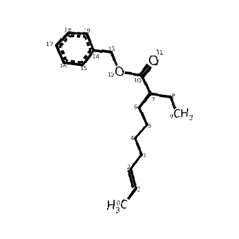 CC=CCCCCC(CC)C(=O)OCc1ccccc1